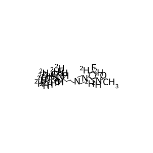 [2H]c1c(F)c([2H])c(N([2H])C(C)=O)c([2H])c1N1CCN(CCCC([2H])([2H])N(C([2H])([2H])[2H])S(=O)(=O)C([2H])([2H])C([2H])(C([2H])([2H])[2H])C([2H])([2H])[2H])CC1